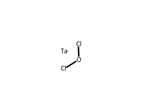 ClOCl.[Ta]